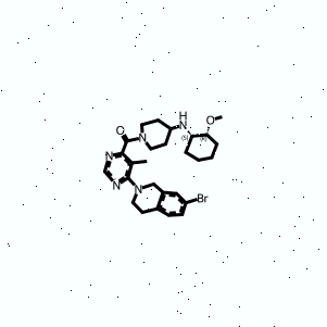 CO[C@@H]1CCCC[C@@H]1NC1CCN(C(=O)c2ncnc(N3CCc4ccc(Br)cc4C3)c2C)CC1